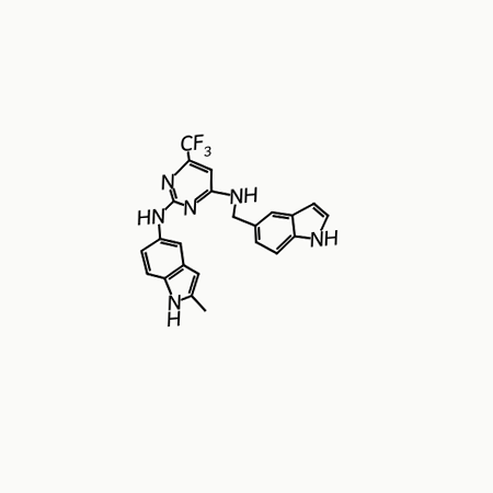 Cc1cc2cc(Nc3nc(NCc4ccc5[nH]ccc5c4)cc(C(F)(F)F)n3)ccc2[nH]1